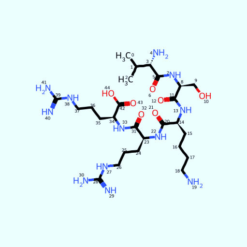 CC(C)[C@H](N)C(=O)N[C@@H](CO)C(=O)N[C@@H](CCCCN)C(=O)N[C@@H](CCCNC(=N)N)C(=O)N[C@@H](CCCNC(=N)N)C(=O)O